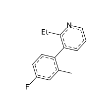 CCc1ncccc1-c1ccc(F)cc1C